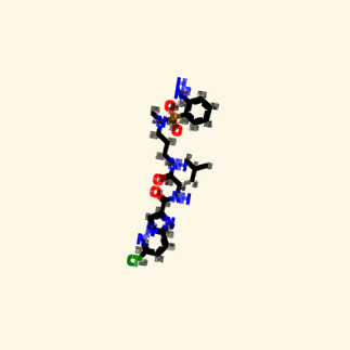 CC(C)C[C@H](NC(=O)c1cn2nc(Cl)ccc2n1)C(=O)NCCCN(C)S(=O)(=O)c1ccccc1N